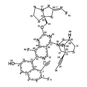 C#Cc1c(F)ccc2cc(O)cc(-c3ncc4c(N5C[C@@H]6CC[C@](C#CC)(C5)N6)nc(OC[C@@]56CCCN5C/C(=C/F)C6)nc4c3F)c12